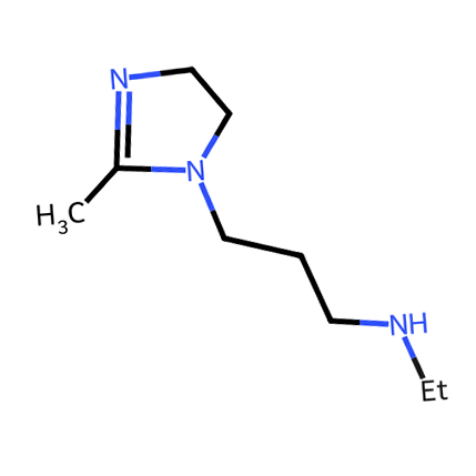 CCNCCCN1CCN=C1C